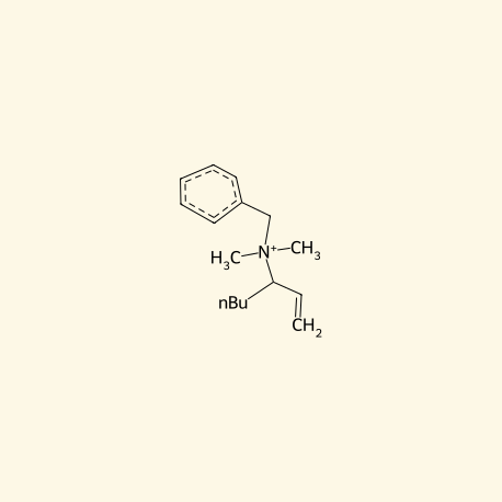 C=CC(CCCC)[N+](C)(C)Cc1ccccc1